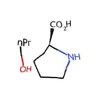 CCCO.O=C(O)[C@@H]1CCCN1